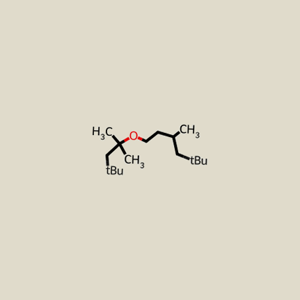 CC(CCOC(C)(C)CC(C)(C)C)CC(C)(C)C